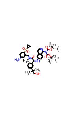 CN(Cc1cc(N)ccc1S(=O)(=O)C1CC1)C(=O)C(Nc1ccc2c(N(C(=O)OC(C)(C)C)C(=O)OC(C)(C)C)nccc2c1)c1cccc(C(C)(C)CO)c1